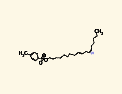 CCCCC/C=C\CC=CCCCCCCCCOS(=O)(=O)c1ccc(C)cc1